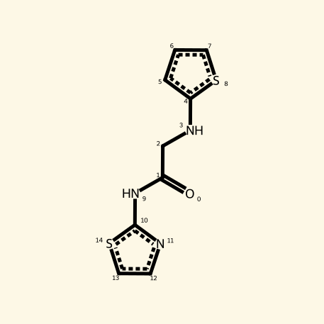 O=C(CNc1cccs1)Nc1nccs1